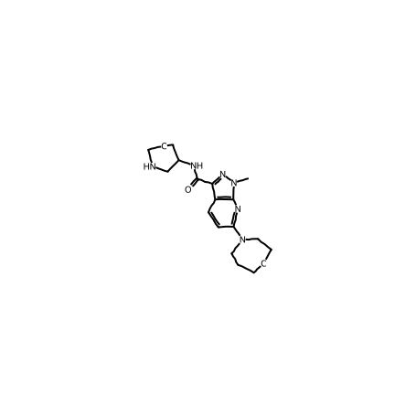 Cn1nc(C(=O)NC2CCCNC2)c2ccc(N3CCCCCC3)nc21